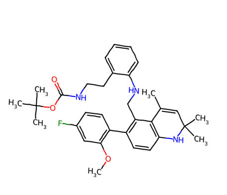 COc1cc(F)ccc1-c1ccc2c(c1CNc1ccccc1CCNC(=O)OC(C)(C)C)C(C)=CC(C)(C)N2